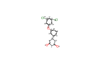 O=C1CC(=O)CC(c2cccc(Oc3cc(Cl)cc(Cl)c3)c2)C1